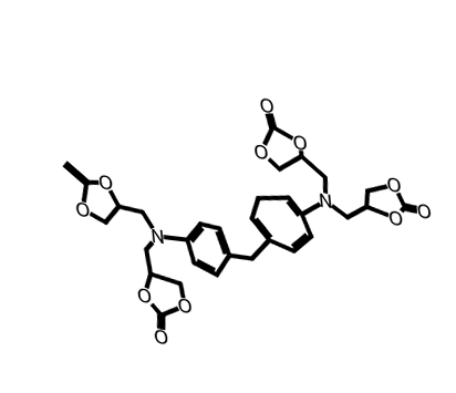 C=C1OCC(CN(CC2COC(=O)O2)c2ccc(CC3=CCC=C(N(CC4COC(=O)O4)CC4COC(=O)O4)C=C3)cc2)O1